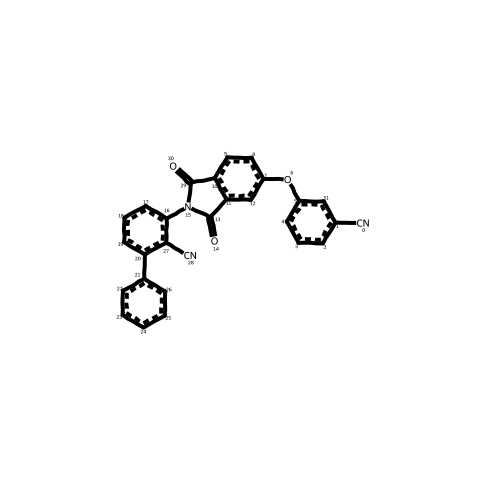 N#Cc1cccc(Oc2ccc3c(c2)C(=O)N(c2cccc(-c4ccccc4)c2C#N)C3=O)c1